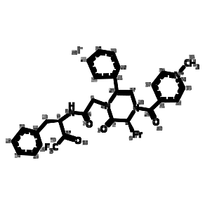 CC(C)[C@H]1C(=O)N(CC(=O)N[C@H](Cc2ccccc2)C(=O)C(F)(F)F)C(c2ccccc2)=CN1C(=O)c1cc[n+](C)cc1.[I-]